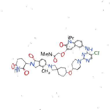 CNC(=O)COc1cc2cc(Nc3nc(N4CCC(OC5CCC6(CC5)CN(c5ccc7c(c5C)CN(C5CCC(=O)NC5=O)C7=O)C6)CC4)ncc3Cl)ccc2n(C(C)C)c1=O